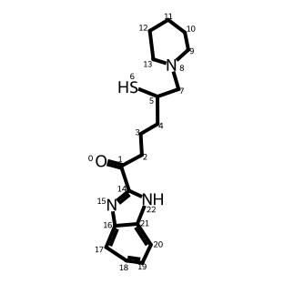 O=C(CCCC(S)CN1CCCCC1)c1nc2ccccc2[nH]1